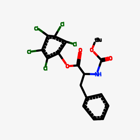 CC(C)(C)OC(=O)NC(Cc1ccccc1)C(=O)Oc1c(Cl)c(Cl)c(Cl)c(Cl)c1Cl